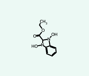 CCOC(=O)C1N(O)c2ccccc2N1O